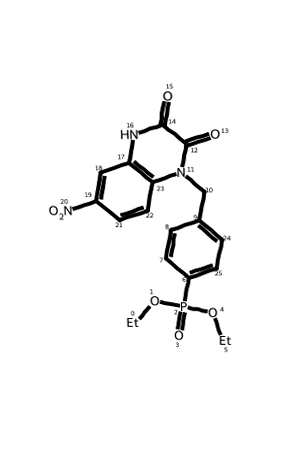 CCOP(=O)(OCC)c1ccc(Cn2c(=O)c(=O)[nH]c3cc([N+](=O)[O-])ccc32)cc1